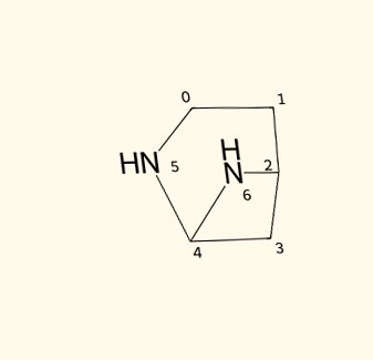 C1CC2CC(N1)N2